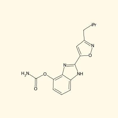 CC(C)Cc1cc(-c2nc3c(OC(N)=O)cccc3[nH]2)on1